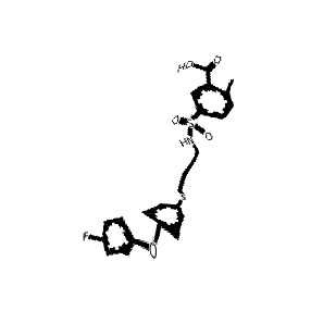 Cc1ccc(S(=O)(=O)NCCSc2ccc(Oc3ccc(F)cc3)cc2)cc1C(=O)O